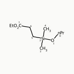 CCCO[Si](C)(C)CCC(=O)OCC